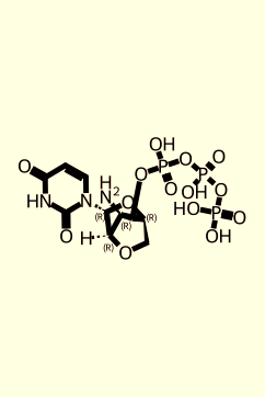 N[C@]12C(OP(=O)(O)OP(=O)(O)OP(=O)(O)O)[C@]13CO[C@H]2[C@H](n1ccc(=O)[nH]c1=O)O3